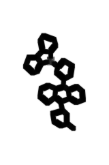 Cc1cccc(-c2c3ccccc3c(-c3cccc(-n4c5ccccc5c5ccccc54)c3)c3ccccc23)c1